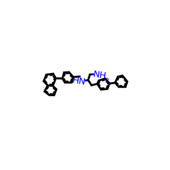 NCC(Cc1ccc(-c2ccccc2)cc1)NCc1ccc(-c2cccc3ccccc23)cc1